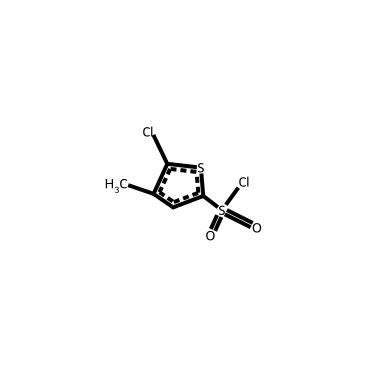 Cc1cc(S(=O)(=O)Cl)sc1Cl